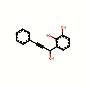 Oc1cccc(C(O)C#Cc2ccccc2)c1O